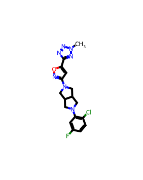 Cn1nnc(-c2cc(N3CC4CN(c5cc(F)ccc5Cl)CC4C3)no2)n1